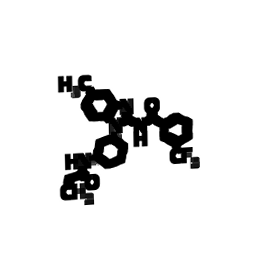 C=CC(=O)N[C@H]1CCC[C@@H](n2c(NC(=O)c3cccc(C(F)(F)F)c3)nc3cc(C)ccc32)C1